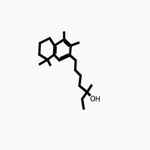 CCC(C)(O)CCCCc1cc2c(c(C)c1C)CCCC2(C)C